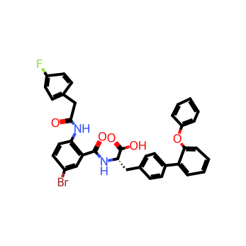 O=C(Cc1ccc(F)cc1)Nc1ccc(Br)cc1C(=O)N[C@@H](Cc1ccc(-c2ccccc2Oc2ccccc2)cc1)C(=O)O